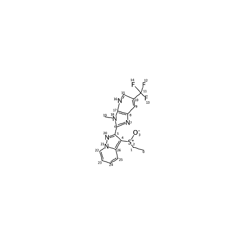 CC[S+]([O-])c1c(-c2nc3cc(C(F)(F)F)cnc3n2C)nn2ccccc12